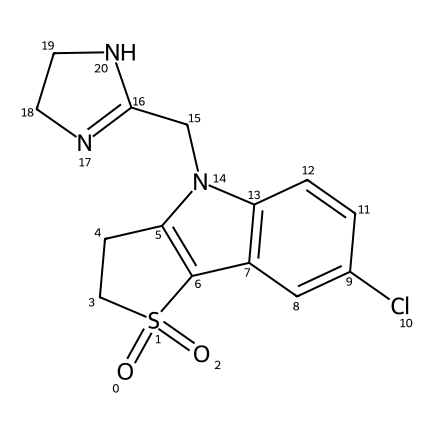 O=S1(=O)CCc2c1c1cc(Cl)ccc1n2CC1=NCCN1